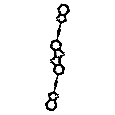 C(#Cc1cc2ccccc2s1)c1ccc2c(c1)sc1c3ccc(C#Cc4cc5ccccc5s4)cc3sc21